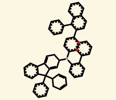 C1=CCC(C2(c3ccccc3)C3=CC(N(c4ccc(-c5ccc6ccccc6c5-c5ccccc5)cc4)c4ccccc4-c4ccccc4)CC=C3c3ccccc32)C=C1